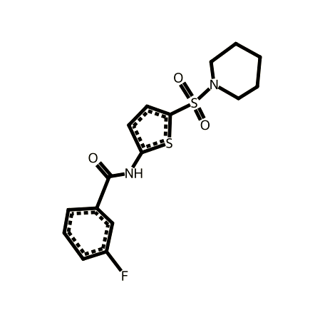 O=C(Nc1ccc(S(=O)(=O)N2CCCCC2)s1)c1cccc(F)c1